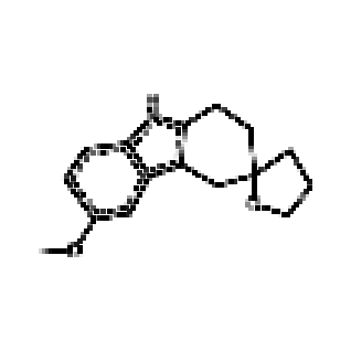 COc1ccc2[nH]c3c(c2c1)CC1(CCCO1)CC3